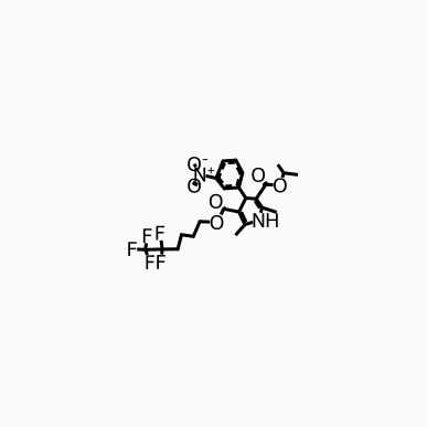 CC1=C(C(=O)OCCCCC(F)(F)C(F)(F)F)C(c2cccc([N+](=O)[O-])c2)C(C(=O)OC(C)C)=C(C)N1